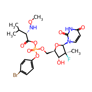 CON[C@H](C(=O)OP(=O)(OC[C@H]1O[C@@H](n2ccc(=O)[nH]c2=O)[C@@](C)(F)[C@@H]1O)Oc1ccc(Br)cc1)C(C)C